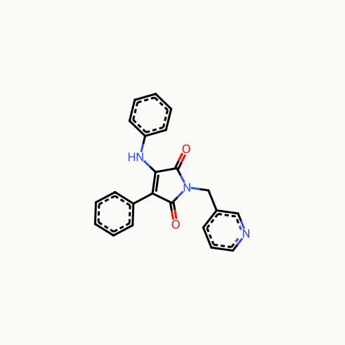 O=C1C(Nc2ccccc2)=C(c2ccccc2)C(=O)N1Cc1cccnc1